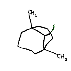 CC12CCCC(C)(CC1)C2F